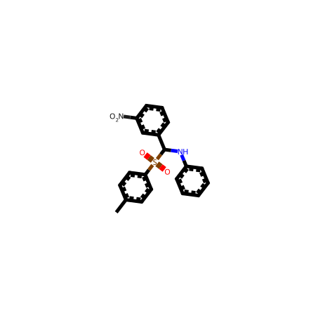 Cc1ccc(S(=O)(=O)C(Nc2ccccc2)c2cccc([N+](=O)[O-])c2)cc1